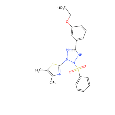 Cc1nc(N2N=C(c3cccc(OCC(=O)O)c3)NN2S(=O)(=O)c2ccccc2)sc1C